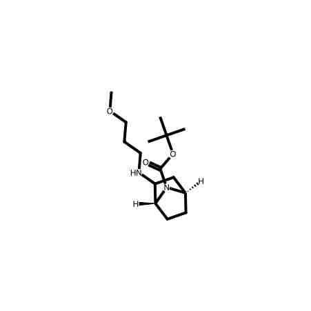 COCCCNC1C[C@H]2CC[C@H]1N2C(=O)OC(C)(C)C